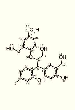 Cc1ccc(C(c2ccc(O)c(CO)c2)C(CO)Oc2ccc(C(=O)O)cc2CO)c(O)c1